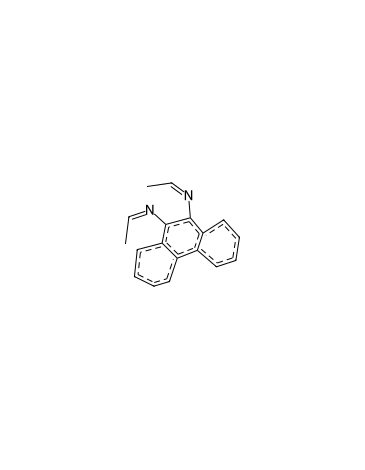 C/C=N\c1c(/N=C\C)c2ccccc2c2ccccc12